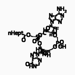 CCCCCCCC(=O)OCSP1(=O)OC[C@H]2O[C@@H](n3cnc4c(N)ncnc43)[C@H](F)[C@@H]2OCP(=O)(O)OC[C@H]2O[C@@H](n3cnc4c(=O)[nH]cnc43)[C@H](O1)[C@@H]2F